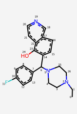 CCN1CCN(C(c2ccc(F)cc2)c2ccc3cnccc3c2O)CC1